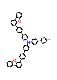 Cc1ccc(-c2ccc(N(c3ccc(-c4ccc(-c5cccc6c5oc5ccccc56)cc4)cc3)c3ccc(-c4ccc(-c5cccc6c5oc5ccccc56)cc4)cc3)cc2)cc1